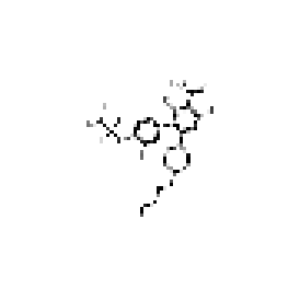 CCCCCC1CCC(c2cc(F)c(C(=O)O)c(F)c2-c2ccc(OC(F)(F)C(F)F)c(F)c2)CC1